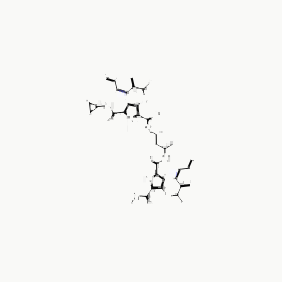 C=C/C=C\C(=C)C(C)Oc1cc(C(=O)NC(C)CCNC(=O)c2[nH]c(C(=O)NC3CC3)cc2OC(C)C(=C)/C=C\C=C)[nH]c1C(=O)NC